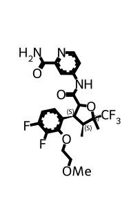 COCCOc1c([C@H]2C(C(=O)Nc3ccnc(C(N)=O)c3)O[C@@](C)(C(F)(F)F)[C@H]2C)ccc(F)c1F